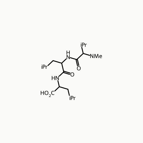 CNC(C(=O)NC(CC(C)C)C(=O)NC(CC(C)C)C(=O)O)C(C)C